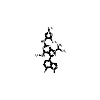 CNc1nc(Nc2cn(C)nc2C)nc2c1c(-c1ccc(F)c3[nH]ncc13)nn2C(C)C